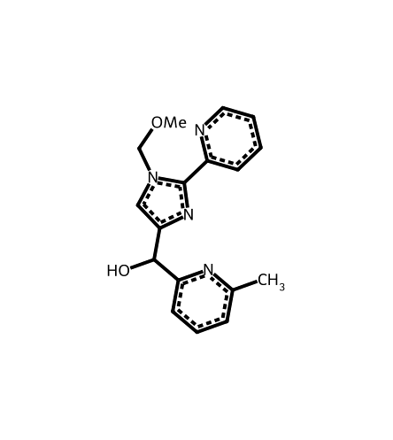 COCn1cc(C(O)c2cccc(C)n2)nc1-c1ccccn1